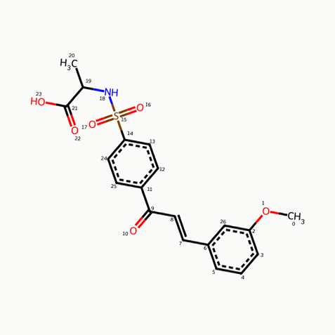 COc1cccc(/C=C/C(=O)c2ccc(S(=O)(=O)NC(C)C(=O)O)cc2)c1